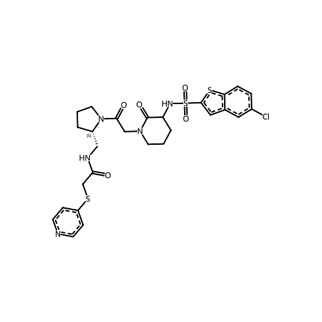 O=C(CSc1ccncc1)NC[C@@H]1CCCN1C(=O)CN1CCCC(NS(=O)(=O)c2cc3cc(Cl)ccc3s2)C1=O